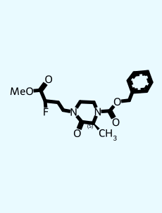 COC(=O)C(F)CCN1CCN(C(=O)OCc2ccccc2)[C@@H](C)C1=O